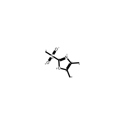 Cc1nc(S(C)(=O)=O)oc1C